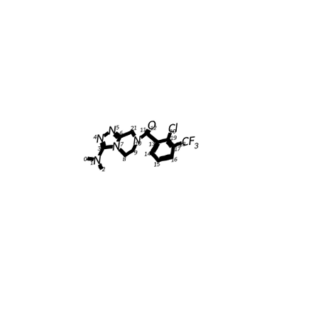 CN(C)c1nnc2n1CCN(C(=O)c1cccc(C(F)(F)F)c1Cl)C2